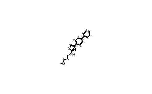 COCCCNc1nc(-c2ccc(-c3ccccc3)cc2)cs1